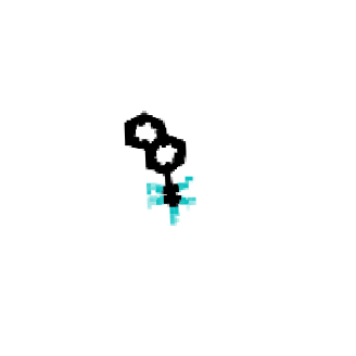 FC(F)(F)C(F)(F)c1ccc2ccccc2c1